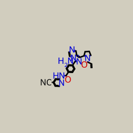 C=CC(=O)N1CCCC1C1=C2C=NC=C[N+]2(N)C(c2ccc(C(=O)Nc3cc(C#N)ccn3)cc2)=N1